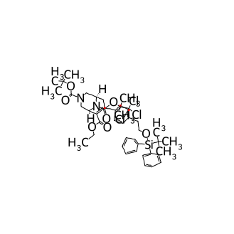 CCOC(=O)C1=C(c2ccc(CCO[Si](c3ccccc3)(c3ccccc3)C(C)(C)C)cc2)C[C@@H]2CN(C(=O)OC(C)(C)C)C[C@H]1N2C(=O)OC(C)(C)C(Cl)(Cl)Cl